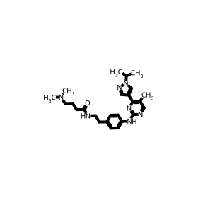 Cc1cnc(Nc2ccc(CCNC(=O)CCCN(C)C)cc2)nc1-c1cnn(C(C)C)c1